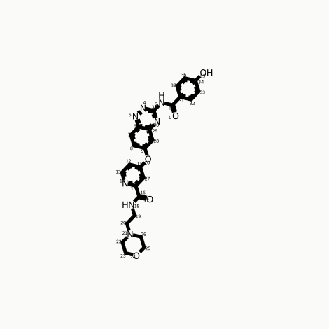 O=C(Nc1nnc2ccc(Oc3ccnc(C(=O)NCCN4CCOCC4)c3)cc2n1)c1ccc(O)cc1